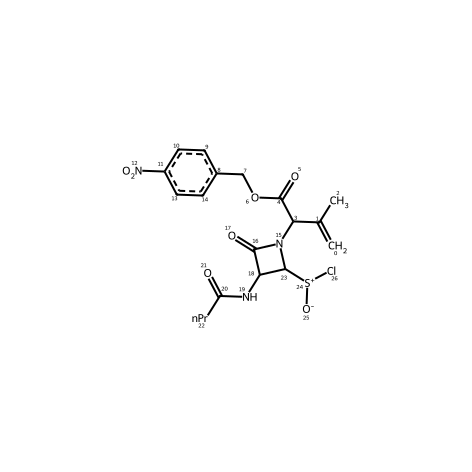 C=C(C)C(C(=O)OCc1ccc([N+](=O)[O-])cc1)N1C(=O)C(NC(=O)CCC)C1[S+]([O-])Cl